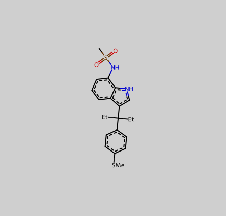 CCC(CC)(c1ccc(SC)cc1)c1c[nH]c2c(NS(C)(=O)=O)cccc12